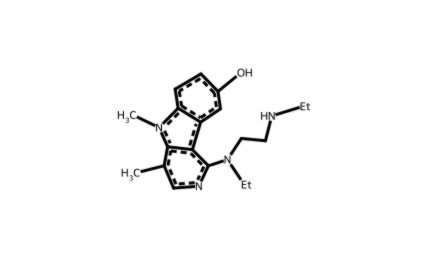 CCNCCN(CC)c1ncc(C)c2c1c1cc(O)ccc1n2C